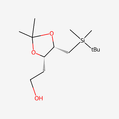 CC1(C)O[C@@H](CCO)[C@@H](C[Si](C)(C)C(C)(C)C)O1